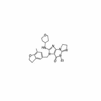 CCN1C(=O)c2c(nc(NC3CCOCC3)n2Cc2cc(C)c3c(c2)CCO3)N2CCN=C12